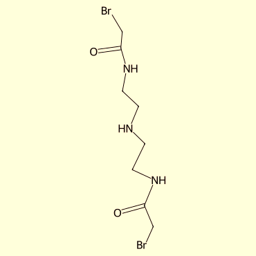 O=C(CBr)NCCNCCNC(=O)CBr